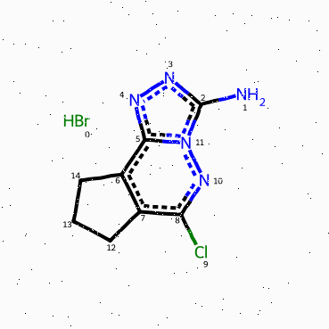 Br.Nc1nnc2c3c(c(Cl)nn12)CCC3